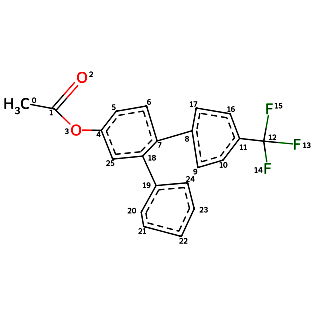 CC(=O)Oc1ccc(-c2ccc(C(F)(F)F)cc2)c(-c2ccccc2)c1